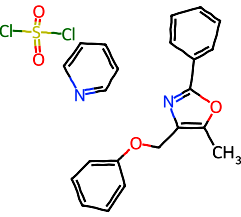 Cc1oc(-c2ccccc2)nc1COc1ccccc1.O=S(=O)(Cl)Cl.c1ccncc1